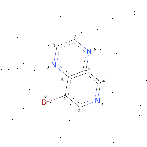 Brc1cncc2nc[c]nc12